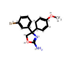 NC1=NC(c2cccc(Br)c2)(C2C=CC(OC(F)(F)F)=CC2)CO1